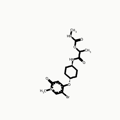 CNC(=O)OC(C)C(=O)N[C@H]1CC[C@H](Oc2cc(=O)n(C)cc2Br)CC1